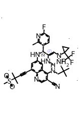 CN/C(=C\N(N)C1(C(F)(F)F)CC1)[C@@H](Nc1cc(C#CC(C)(C)S(C)(=O)=O)c2ncc(C#N)c(NCC(C)(C)C)c2c1)c1ccc(F)nc1C